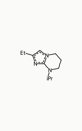 CCc1cn2c(n1)N(C(C)C)CCC2